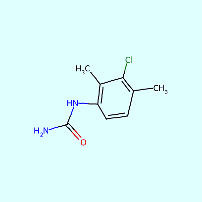 Cc1ccc(NC(N)=O)c(C)c1Cl